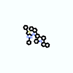 C1=CC(n2c3ccc4ccccc4c3c3cccc(-c4ccc5c(c4)c4ccc6ccccc6c4n5-c4nc(-c5ccccc5)nc5cc(-c6ccccc6)sc45)c32)=CCC1